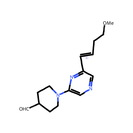 COCC/C=C/c1cncc(N2CCC(C=O)CC2)n1